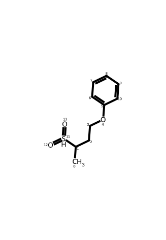 CC(CCOc1cc[c]cc1)[SH](=O)=O